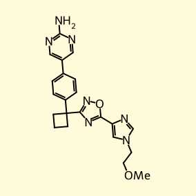 COCCn1cnc(-c2nc(C3(c4ccc(-c5cnc(N)nc5)cc4)CCC3)no2)c1